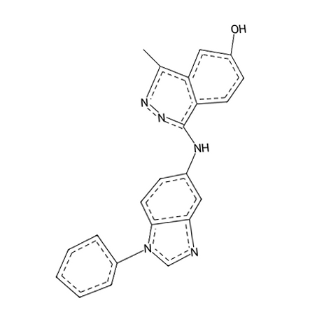 Cc1nnc(Nc2ccc3c(c2)ncn3-c2ccccc2)c2ccc(O)cc12